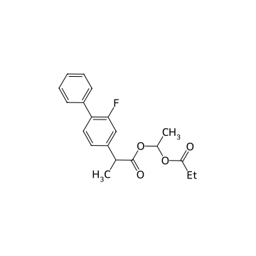 CCC(=O)OC(C)OC(=O)C(C)c1ccc(-c2ccccc2)c(F)c1